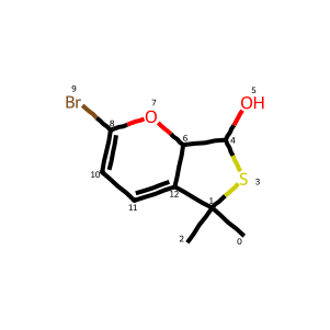 CC1(C)SC(O)C2OC(Br)=CC=C21